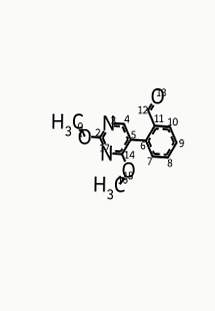 COc1ncc(-c2ccccc2C=O)c(OC)n1